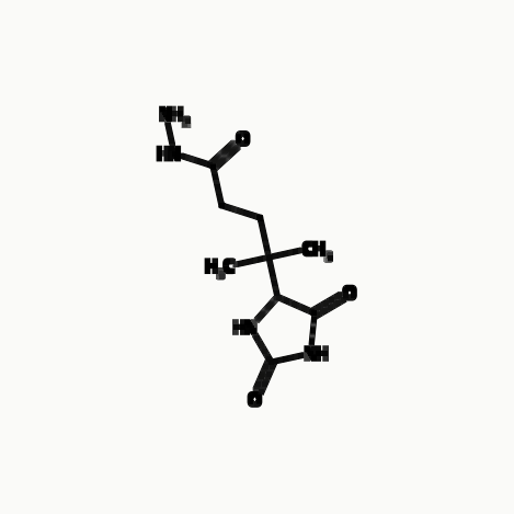 CC(C)(CCC(=O)NN)C1NC(=O)NC1=O